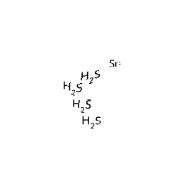 S.S.S.S.[Sr]